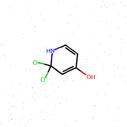 OC1=CC(Cl)(Cl)NC=C1